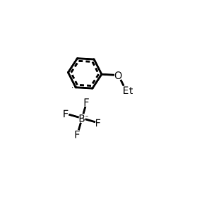 CCOc1c[c]ccc1.F[B-](F)(F)F